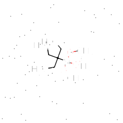 [CH2]CC(CC)(CC)[Si](OC)(OC)OC